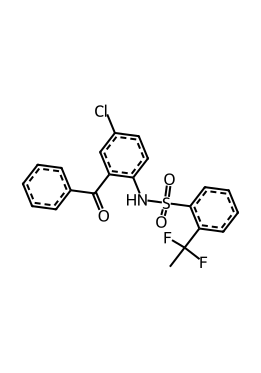 CC(F)(F)c1ccccc1S(=O)(=O)Nc1ccc(Cl)cc1C(=O)c1ccccc1